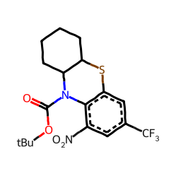 CC(C)(C)OC(=O)N1c2c(cc(C(F)(F)F)cc2[N+](=O)[O-])SC2CCCCC21